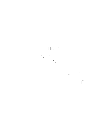 CCc1cccc(N(C)C(=N)N(C)c2cc(SC(F)(F)F)ccc2Br)c1